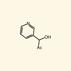 CC(=O)C(O)c1cccnc1